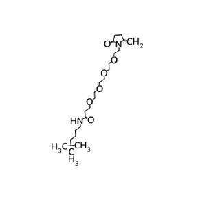 C=C1C=CC(=O)N1CCOCCOCCOCCOCCC(=O)NCCCCC(C)(C)C